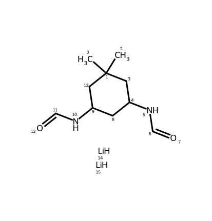 CC1(C)CC(NC=O)CC(NC=O)C1.[LiH].[LiH]